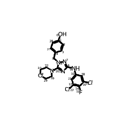 Oc1ccc(Cn2nc(Nc3cc(Cl)c(F)c(Cl)c3)nc2N2CCOCC2)cc1